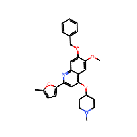 COc1cc2c(OC3CCN(C)CC3)cc(-c3ccc(C)o3)nc2cc1OCc1ccccc1